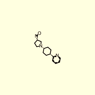 O=N[C@@H]1CCN([C@H]2CC[C@H](c3ccccn3)CC2)C1